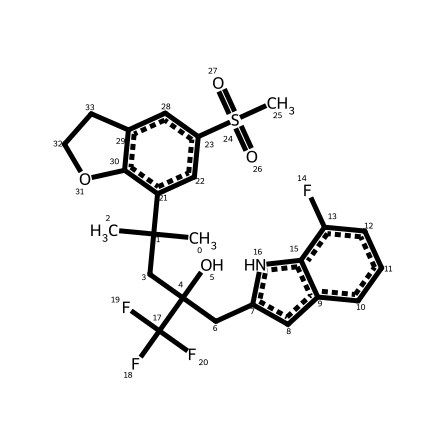 CC(C)(CC(O)(Cc1cc2cccc(F)c2[nH]1)C(F)(F)F)c1cc(S(C)(=O)=O)cc2c1OCC2